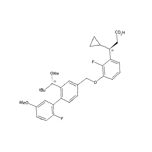 COc1ccc(F)c(-c2ccc(COc3cccc([C@H](CC(=O)O)C4CC4)c3F)cc2[C@@H](OC)C(C)(C)C)c1